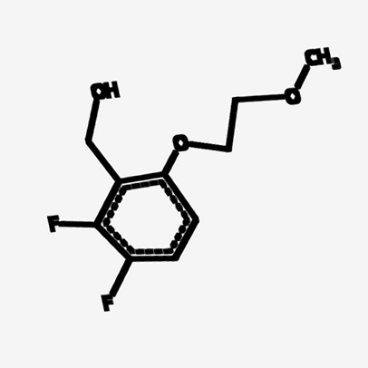 COCCOc1ccc(F)c(F)c1CO